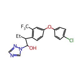 CCC(c1ccc(Oc2ccc(Cl)cc2)cc1C(F)(F)F)C(O)n1cncn1